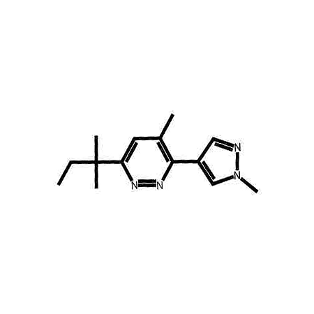 CCC(C)(C)c1cc(C)c(-c2cnn(C)c2)nn1